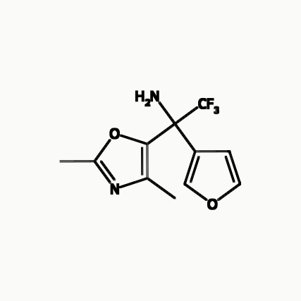 Cc1nc(C)c(C(N)(c2ccoc2)C(F)(F)F)o1